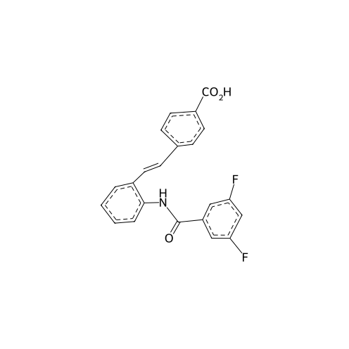 O=C(O)c1ccc(C=Cc2ccccc2NC(=O)c2cc(F)cc(F)c2)cc1